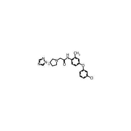 Cc1cc(Oc2cccc(Cl)c2)ccc1NC(=O)CN1CC[C@H](n2cncn2)C1